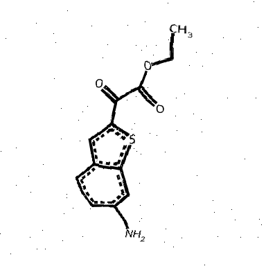 CCOC(=O)C(=O)c1cc2ccc(N)cc2s1